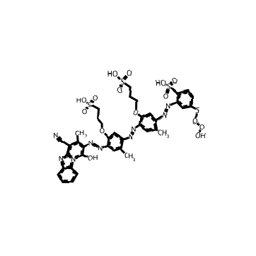 Cc1cc(N=Nc2c(C)c(C#N)c3nc4ccccc4n3c2O)c(OCCCS(=O)(=O)O)cc1N=Nc1cc(C)c(N=Nc2cc(SOOO)ccc2S(=O)(=O)O)cc1OCCCS(=O)(=O)O